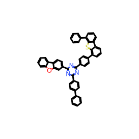 c1ccc(-c2ccc(-c3nc(-c4ccc(-c5cccc6c5sc5c(-c7ccccc7)cccc56)cc4)nc(-c4ccc5c(c4)oc4ccccc45)n3)cc2)cc1